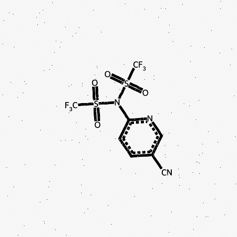 N#Cc1ccc(N(S(=O)(=O)C(F)(F)F)S(=O)(=O)C(F)(F)F)nc1